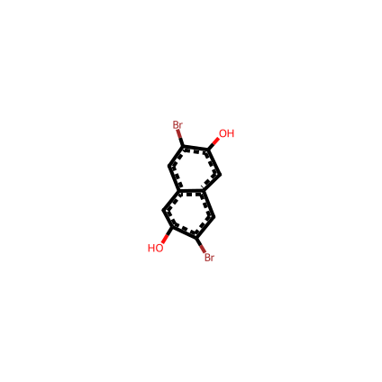 Oc1cc2cc(Br)c(O)cc2cc1Br